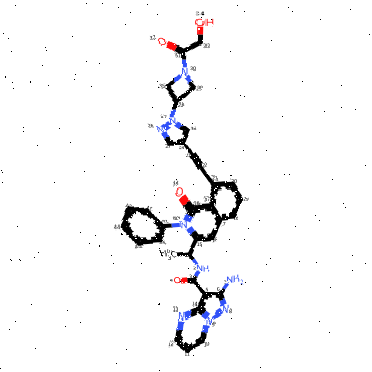 CC(NC(=O)c1c(N)nn2cccnc12)c1cc2cccc(C#Cc3cnn(C4CN(C(=O)CO)C4)c3)c2c(=O)n1-c1ccccc1